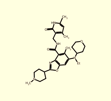 CCN(c1cc2oc(C3CCN(C)CC3)nc2c(C(=O)NCc2c(C)cc(C)[nH]c2=O)c1C)C1CCOCC1